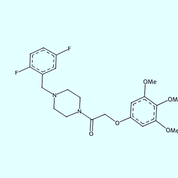 COc1cc(OCC(=O)N2CCN(Cc3cc(F)ccc3F)CC2)cc(OC)c1OC